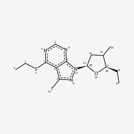 CCSc1ncnc2c1c(I)nn2[C@H]1CC(C)[C@@H](CC)O1